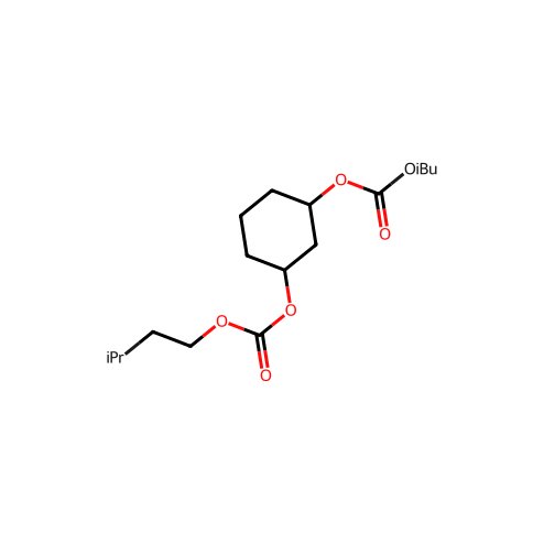 CC(C)CCOC(=O)OC1CCCC(OC(=O)OCC(C)C)C1